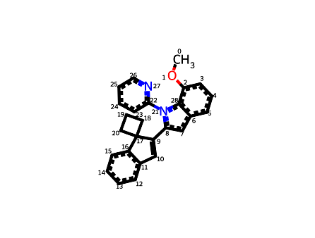 COc1cccc2cc(C3=Cc4ccccc4C34CCC4)n(-c3ccccn3)c12